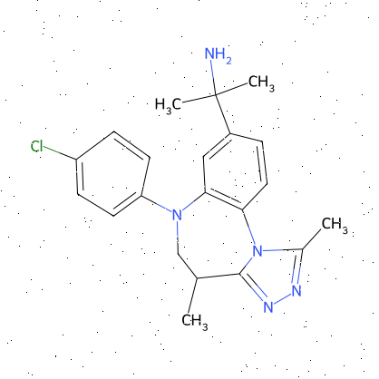 Cc1nnc2n1-c1ccc(C(C)(C)N)cc1N(c1ccc(Cl)cc1)CC2C